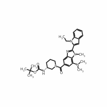 CCn1c(-c2nc3cc(C(=O)N4CCC[C@@H](NC(=O)OC(C)(C)C)C4)cc(N(C)C)c3n2C)cc2ccccc21